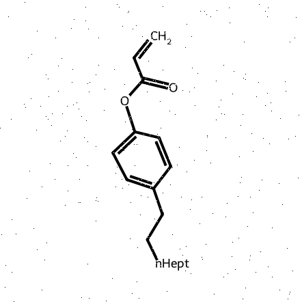 C=CC(=O)Oc1ccc(CCCCCCCCC)cc1